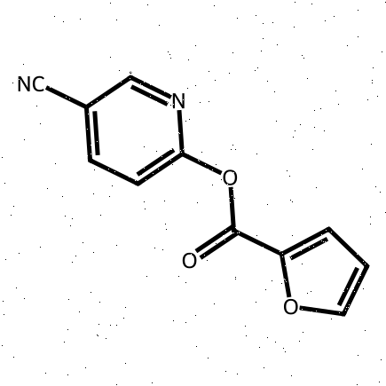 N#Cc1[c]nc(OC(=O)c2ccco2)cc1